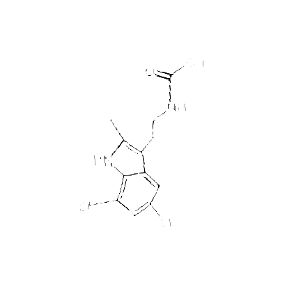 Cc1[nH]c2c(Cl)cc(Cl)cc2c1CCNC(=O)O